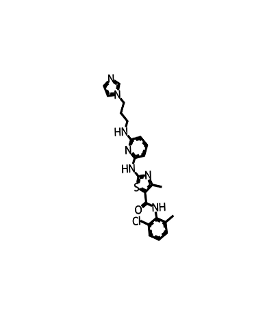 Cc1cccc(Cl)c1NC(=O)c1sc(Nc2cccc(NCCCn3ccnc3)n2)nc1C